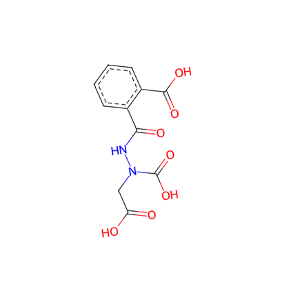 O=C(O)CN(NC(=O)c1ccccc1C(=O)O)C(=O)O